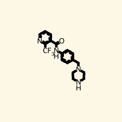 O=C(Nc1ccc(CN2CCNCC2)cc1)c1cccnc1C(F)(F)F